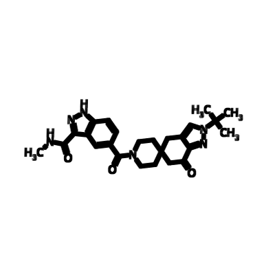 CNC(=O)c1n[nH]c2ccc(C(=O)N3CCC4(CC3)CC(=O)c3nn(C(C)(C)C)cc3C4)cc12